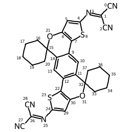 N#CC(C#N)=Nc1cc2c(s1)-c1cc3c(cc1C1(CCCCC1)O2)-c1sc(N=C(C#N)C#N)cc1OC31CCCCC1